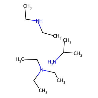 CC(C)N.CCN(CC)CC.CCNCC